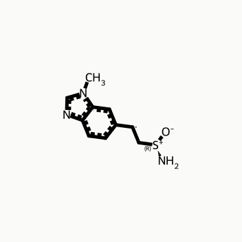 Cn1cnc2ccc([CH]C[S@@+](N)[O-])cc21